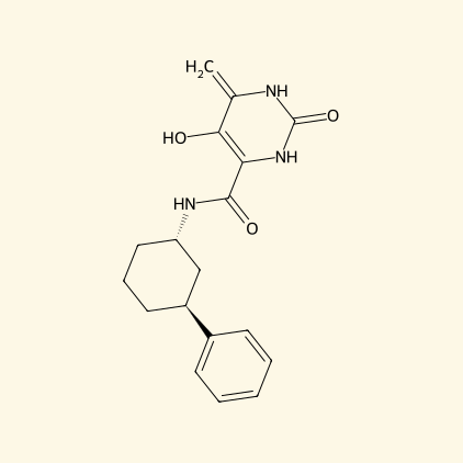 C=C1NC(=O)NC(C(=O)N[C@H]2CCC[C@H](c3ccccc3)C2)=C1O